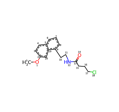 COc1ccc2cccc(CCNC(=O)CCCCl)c2c1